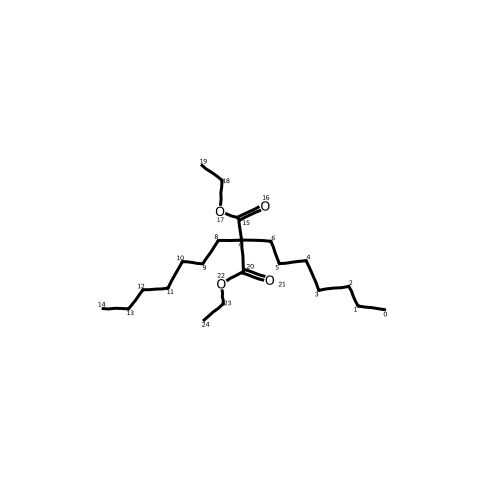 CCCCCCCC(CCCCCCC)(C(=O)OCC)C(=O)OCC